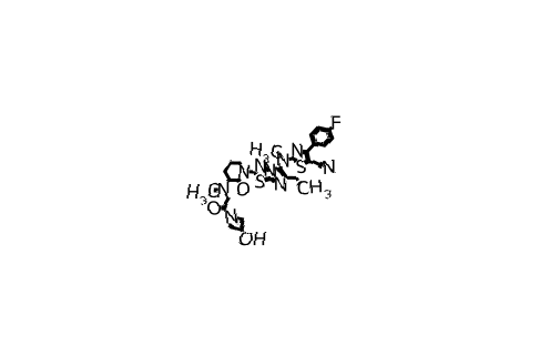 CCc1nc2sc(N3CCCC(N(C)CC(=O)N4CC(O)C4)C3=O)nn2c1N(C)c1nc(-c2ccc(F)cc2)c(C#N)s1